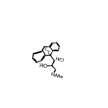 CNCC(O)CC12CCC(c3ccccc31)c1ccccc12.Cl